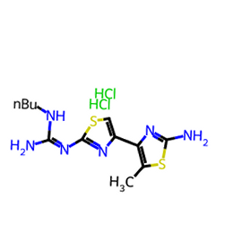 CCCCNC(N)=Nc1nc(-c2nc(N)sc2C)cs1.Cl.Cl